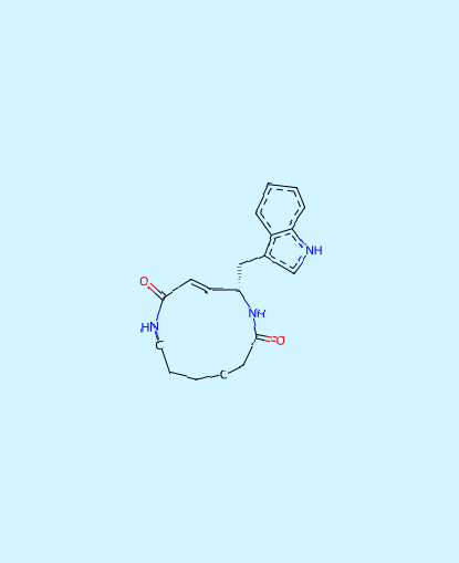 O=C1/C=C/[C@H](Cc2c[nH]c3ccccc23)NC(=O)CCCCCN1